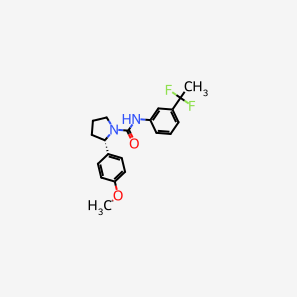 COc1ccc([C@@H]2CCCN2C(=O)Nc2cccc(C(C)(F)F)c2)cc1